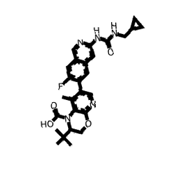 Cc1c(-c2cc3cc(NC(=O)NCC4CC4)ncc3cc2F)cnc2c1N(C(=O)O)C(C(C)(C)C)CO2